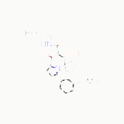 COc1cccc(-c2ccc3n2C2(CCCC2)C(O)=C(C(=O)NCC(=O)O)C3=O)c1